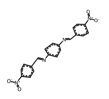 O=[N+]([O-])c1ccc(/C=N/c2ccc(/N=C/c3ccc([N+](=O)[O-])cc3)cc2)cc1